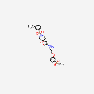 CNS(=O)(=O)c1cccc(OCCCN[C@H]2COC3(CCN(S(=O)(=O)c4cccc(C)c4)CC3)C2)c1